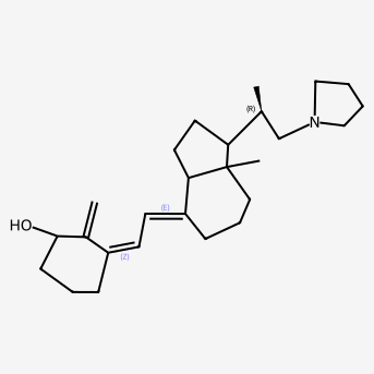 C=C1/C(=C\C=C2/CCCC3(C)C2CCC3[C@@H](C)CN2CCCC2)CCCC1O